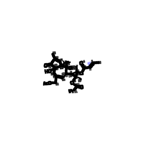 C/C=C/C(=O)OC1(C)[C@@H]([C@@H]2C=C(COC(C)=O)C[C@]3(O)C(=O)C(C)=C[C@H]3[C@@]2(O)C(C)C)[C@]1(C)OC(=O)C(C)C